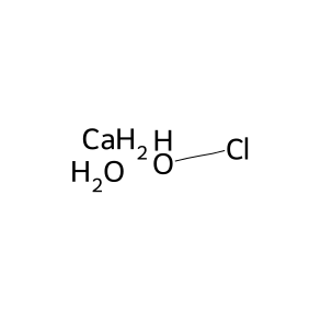 O.OCl.[CaH2]